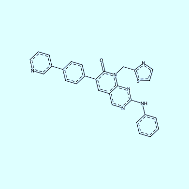 O=c1c(-c2ccc(-c3cccnc3)cc2)cc2cnc(Nc3ccccc3)nc2n1Cc1nccs1